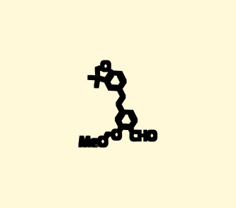 COCOc1cc(CCc2ccc3c(c2)C(C)(C)CO3)ccc1C=O